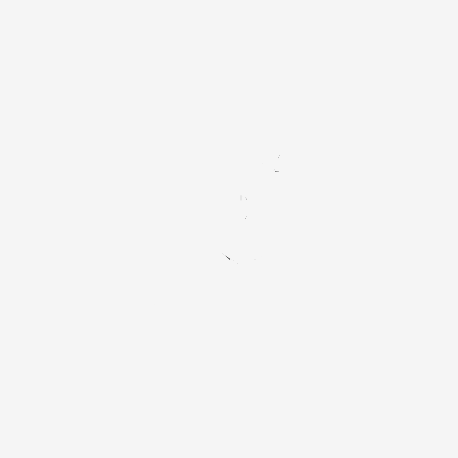 Cl.N[C@@H](Cc1ccccc1)C(O)C(=O)NCC(F)(F)F